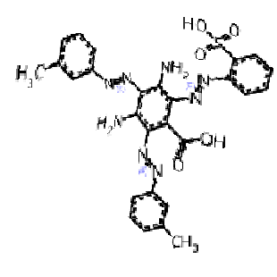 Cc1cccc(/N=N/c2c(N)c(/N=N/c3cccc(C)c3)c(C(=O)O)c(/N=N/c3ccccc3S(=O)(=O)O)c2N)c1